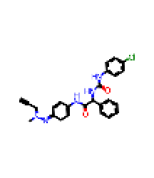 C#CCN(C)N=C1C=CC(NC(=O)C(NC(=O)Nc2ccc(Cl)cc2)c2ccccc2)=CC1